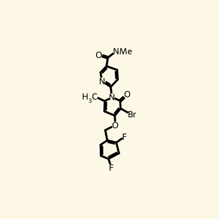 CNC(=O)c1ccc(-n2c(C)cc(OCc3ccc(F)cc3F)c(Br)c2=O)nc1